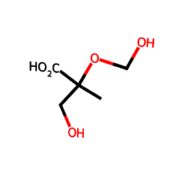 CC(CO)(OCO)C(=O)O